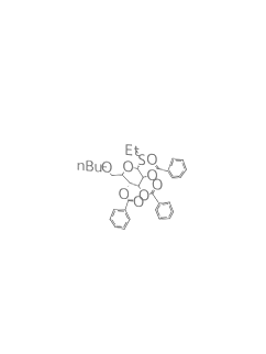 CCCCOCC1O[C@@H](SCC)[C@@H](OC(=O)c2ccccc2)C(OC(=O)c2ccccc2)[C@@H]1OC(=O)c1ccccc1